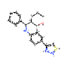 c1ccc(C2Nc3ccc(-c4csnn4)cc3C3OCCCC23)cc1